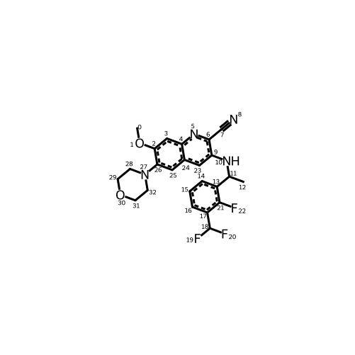 COc1cc2nc(C#N)c(NC(C)c3cccc(C(F)F)c3F)cc2cc1N1CCOCC1